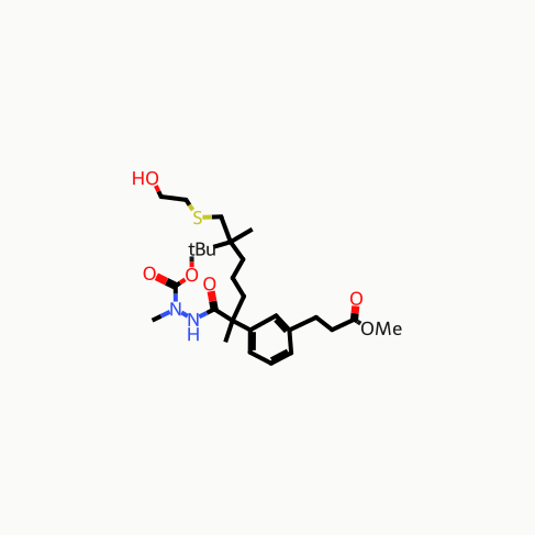 COC(=O)CCc1cccc(C(C)(CCCC(C)(C)CSCCO)C(=O)NN(C)C(=O)OC(C)(C)C)c1